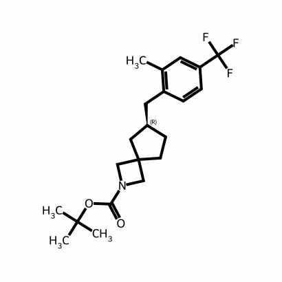 Cc1cc(C(F)(F)F)ccc1C[C@H]1CCC2(C1)CN(C(=O)OC(C)(C)C)C2